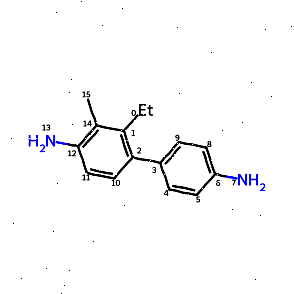 CCc1c(-c2ccc(N)cc2)ccc(N)c1C